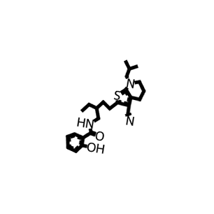 CCC(CCc1sc2c(c1C#N)CCCN2CC(C)C)CNC(=O)c1ccccc1O